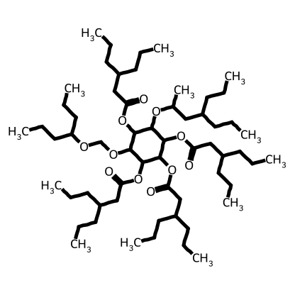 CCCC(CCC)CC(=O)OC1C(OCOC(CCC)CCC)C(OC(=O)CC(CCC)CCC)C(OC(C)CC(CCC)CCC)C(OC(=O)CC(CCC)CCC)C1OC(=O)CC(CCC)CCC